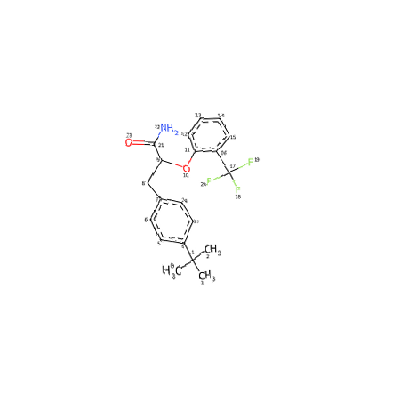 CC(C)(C)c1ccc(CC(Oc2ccccc2C(F)(F)F)C(N)=O)cc1